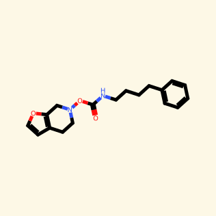 O=C(NCCCCc1ccccc1)ON1CCc2ccoc2C1